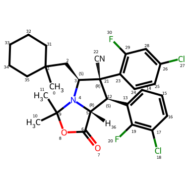 CC1(C[C@@H]2N3[C@@H](C(=O)OC3(C)C)[C@H](c3cccc(Cl)c3F)[C@@]2(C#N)c2ccc(Cl)cc2F)CCCCC1